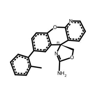 Cc1ccccc1-c1ccc2c(c1)[C@]1(COC(N)=N1)c1cccnc1O2